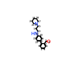 O=Cc1ccccc1-c1ccc(NCCCN2CCCCC2)cc1